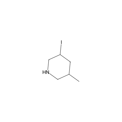 CC1CNCC(I)C1